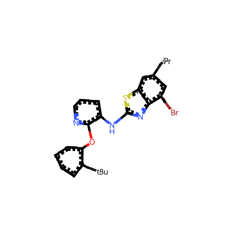 CC(C)c1cc(Br)c2nc(Nc3cccnc3Oc3ccccc3C(C)(C)C)sc2c1